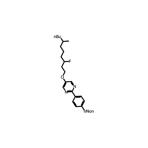 CCCCCCCCCc1ccc(-c2ncc(OCCC(F)CCCC(C)CCCC)cn2)cc1